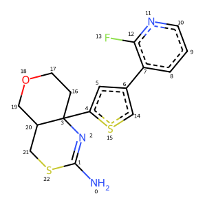 NC1=NC2(c3cc(-c4cccnc4F)cs3)CCOCC2CS1